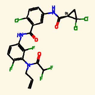 C=CCN(C(=O)C(F)F)c1c(F)ccc(NC(=O)c2cc(NC(=O)[C@H]3CC3(Cl)Cl)ccc2Cl)c1F